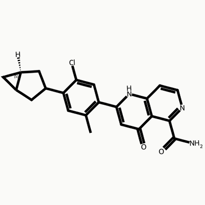 Cc1cc(C2CC3C[C@H]3C2)c(Cl)cc1-c1cc(=O)c2c(C(N)=O)nccc2[nH]1